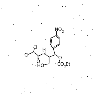 CCOC(=O)OC(c1ccc([N+](=O)[O-])cc1)C(CO)NC(=O)C(Cl)Cl